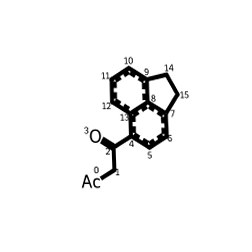 CC(=O)CC(=O)c1ccc2c3c(cccc13)CC2